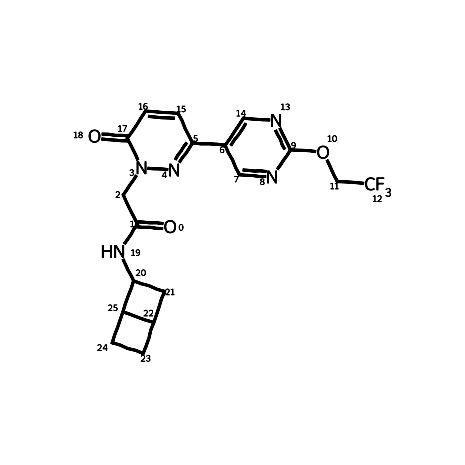 O=C(Cn1nc(-c2cnc(OCC(F)(F)F)nc2)ccc1=O)NC1CC2CCC21